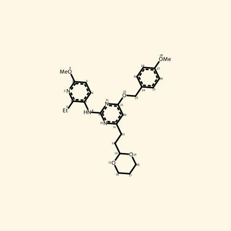 CCc1nc(OC)ccc1Nc1nc(CCC2OCCCO2)cc(OCc2ccc(OC)cc2)n1